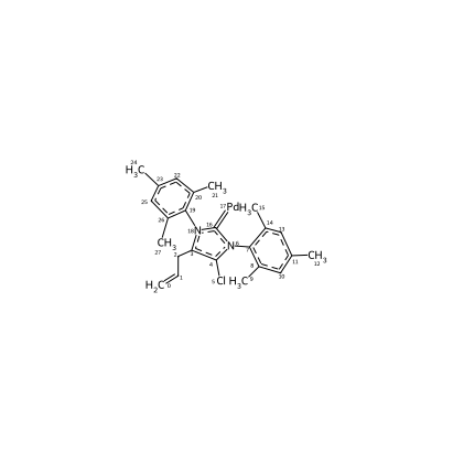 C=CCc1c(Cl)n(-c2c(C)cc(C)cc2C)[c](=[Pd])n1-c1c(C)cc(C)cc1C